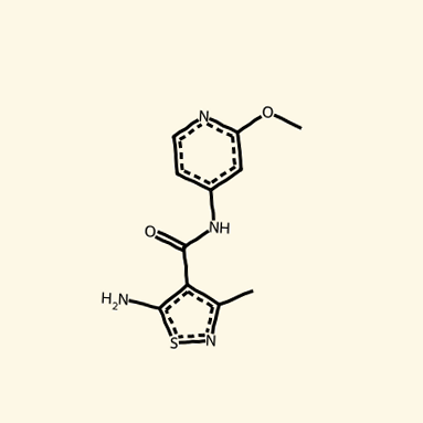 COc1cc(NC(=O)c2c(C)nsc2N)ccn1